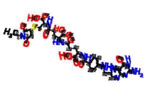 CCN1C(=O)CC(SCC(NC(=O)CCC(NC(=O)CCC(NC(=O)c2ccc(NCc3cnc4nc(N)[nH]c(=O)c4n3)cc2)C(=O)O)C(=O)O)C(=O)O)C1=O